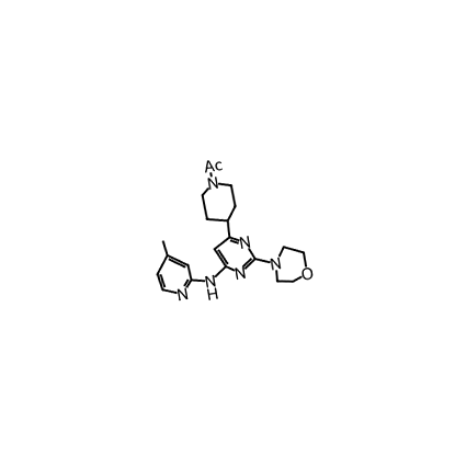 CC(=O)N1CCC(c2cc(Nc3cc(C)ccn3)nc(N3CCOCC3)n2)CC1